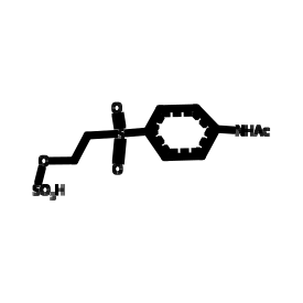 CC(=O)Nc1ccc(S(=O)(=O)CCOS(=O)(=O)O)cc1